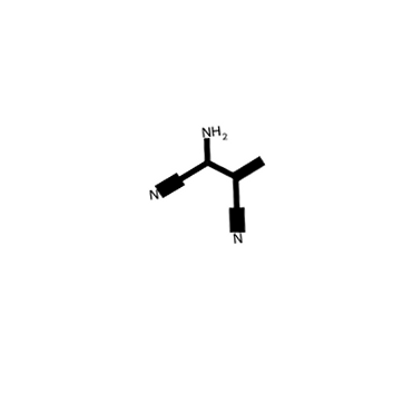 C=C(C#N)C(N)C#N